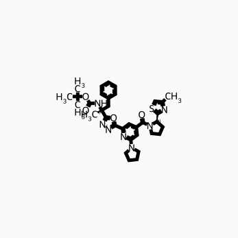 Cc1csc([C@H]2CCCN2C(=O)c2cc(-c3nnc([C@@](C)(Cc4ccccc4)NC(=O)OC(C)(C)C)o3)nc(N3CCCC3)c2)n1